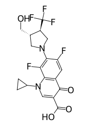 O=C(O)c1cn(C2CC2)c2c(F)c(N3C[C@H](CO)[C@@H](C(F)(F)F)C3)c(F)cc2c1=O